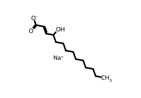 CCCCCCCCCCC(O)C=CC(=O)[O-].[Na+]